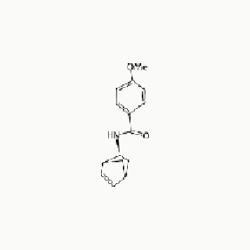 COc1ccc(C(=O)N[C@H]2CC3C=CC2C3)cc1